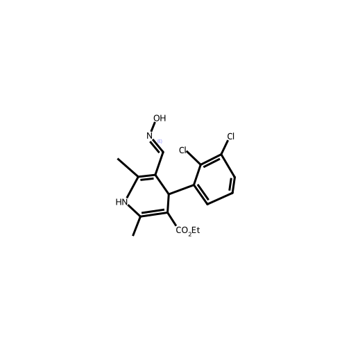 CCOC(=O)C1=C(C)NC(C)=C(/C=N/O)C1c1cccc(Cl)c1Cl